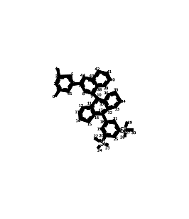 Cc1cc(C)cc(-c2cc(-c3c4ccccc4c(-c4cc([Si](C)(C)C)cc([Si](C)(C)C)c4)c4ccccc34)c3ccccc3c2)c1